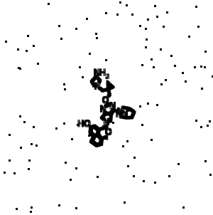 N[C@@H]1CCN(CC2(COc3nc4c(c(N5CC6CCC(C5)N6)n3)CN(C(=O)c3cc(O)cc5cccc(I)c35)C4)CC2)C1